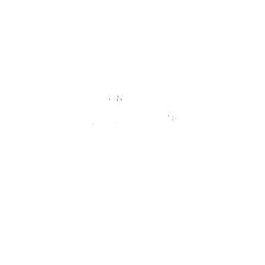 C1CCC2CNCCNC2CC1